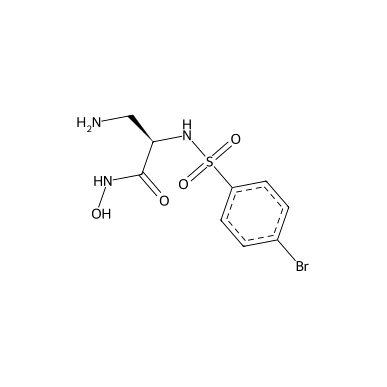 NC[C@@H](NS(=O)(=O)c1ccc(Br)cc1)C(=O)NO